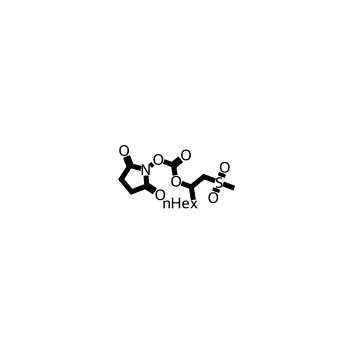 CCCCCCC(CS(C)(=O)=O)OC(=O)ON1C(=O)CCC1=O